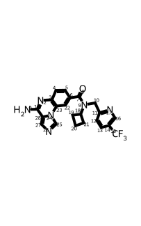 Nc1nc2ccc(C(=O)N(Cc3ccc(C(F)(F)F)cn3)C3CCC3)cc2n2cncc12